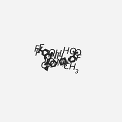 C[C@H]1CN([C@@H]2CC[C@@](C(=O)N3Cc4cc(C(F)(F)F)ccc4[C@@](N)(O)C3)(C3CC3)OC2)CCN1c1ccc(F)c(C(=O)O)c1